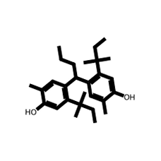 CCCC(c1cc(C)c(O)cc1C(C)(C)CC)c1cc(C)c(O)cc1C(C)(C)CC